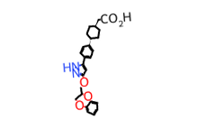 O=C(O)C[C@H]1CC[C@H](c2ccc(-c3cc(OCC4COc5ccccc5O4)n[nH]3)cc2)CC1